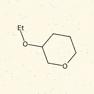 [CH2]COC1CCCOC1